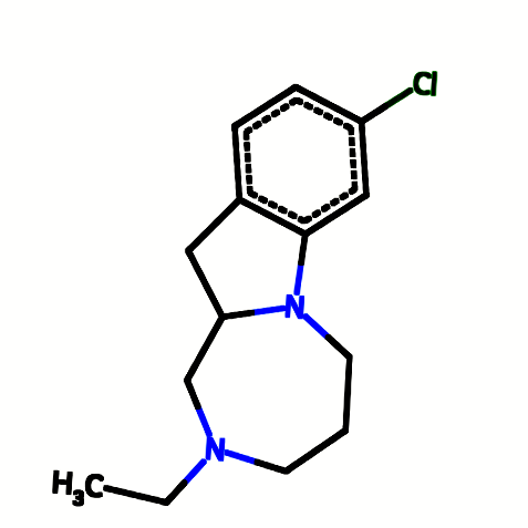 CCN1CCCN2c3cc(Cl)ccc3CC2C1